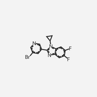 Fc1cc2nc(-c3cncc(Br)c3)n(C3CC3)c2cc1F